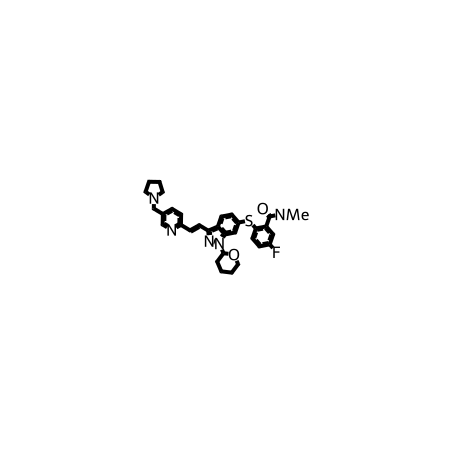 CNC(=O)c1cc(F)ccc1Sc1ccc2c(/C=C/c3ccc(CN4CCCC4)cn3)nn(C3CCCCO3)c2c1